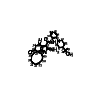 CC(C)(O)C1CCN(c2ccncc2NC(=O)c2c(N)nn3c2NCC(Cl)C32CCCCCCCCC2)CC1